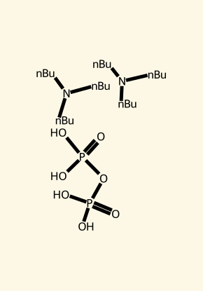 CCCCN(CCCC)CCCC.CCCCN(CCCC)CCCC.O=P(O)(O)OP(=O)(O)O